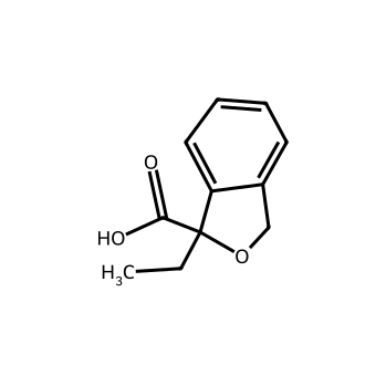 CCC1(C(=O)O)OCc2ccccc21